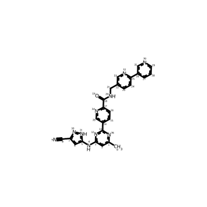 Cc1cc(Nc2cc(C#N)n[nH]2)nc(-c2ccc(C(=O)NCc3ccc(-c4cccnc4)nc3)nc2)n1